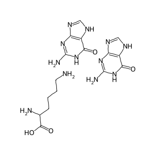 NCCCCC(N)C(=O)O.Nc1nc2nc[nH]c2c(=O)[nH]1.Nc1nc2nc[nH]c2c(=O)[nH]1